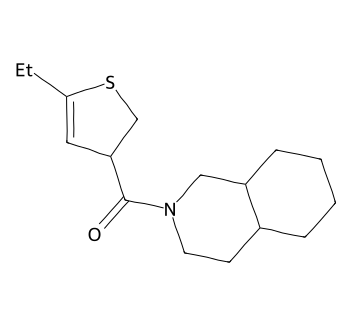 CCC1=CC(C(=O)N2CCC3CCCCC3C2)CS1